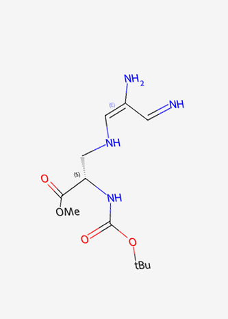 COC(=O)[C@H](CN/C=C(/N)C=N)NC(=O)OC(C)(C)C